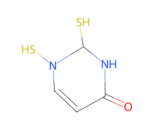 O=C1C=CN(S)C(S)N1